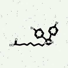 O=C(O)CCCCCCCn1cnc(-c2ccc(Br)cc2)c1-c1ccc(Br)cc1